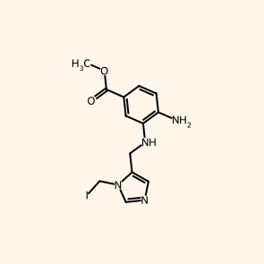 COC(=O)c1ccc(N)c(NCc2cncn2CI)c1